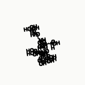 C[C@@H]1O[C@@H](OCCNC(=O)CCCCCNC(=O)CN(CC(=O)NCCCCCNC(=O)O)CC(=O)NCCCC[C@@H](C(=O)NCCO[C@@H]2O[C@@H](C)[C@@H](O)[C@@H](O)[C@@H]2O)N(CC(=O)NCCO[C@@H]2O[C@@H](C)[C@@H](O)[C@@H](O)[C@@H]2O)CC(=O)NCCO[C@@H]2O[C@@H](C)[C@@H](O)[C@@H](O)[C@@H]2O)[C@@H](O)[C@H](O)[C@@H]1O